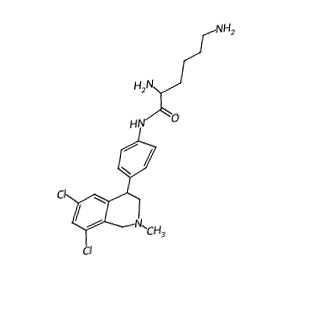 CN1Cc2c(Cl)cc(Cl)cc2C(c2ccc(NC(=O)C(N)CCCCN)cc2)C1